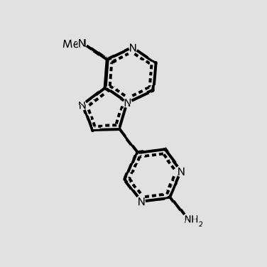 CNc1nccn2c(-c3cnc(N)nc3)cnc12